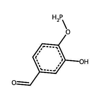 O=Cc1ccc(OP)c(O)c1